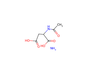 CC(=O)NC(CC(=O)O)C(=O)O.N